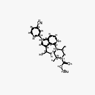 CC1CN(C(=O)OC(C)(C)C)[C@@H](C)CN1c1nccc2c1c(C(F)F)cn2-c1cc(C#N)ccn1